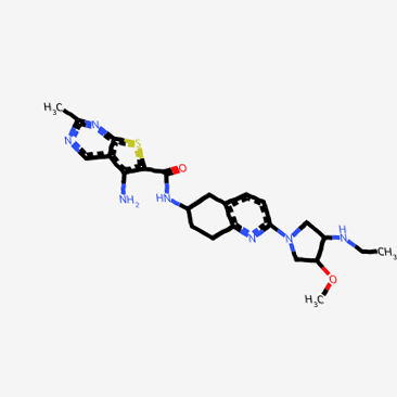 CCNC1CN(c2ccc3c(n2)CCC(NC(=O)c2sc4nc(C)ncc4c2N)C3)CC1OC